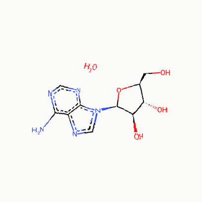 Nc1ncnc2c1ncn2[C@H]1O[C@@H](CO)[C@H](O)[C@H]1O.O